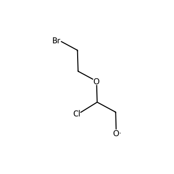 [O]CC(Cl)OCCBr